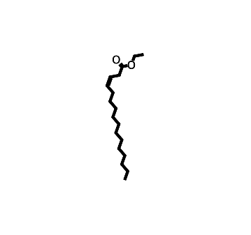 CCCCCCCCCCCC/C=C\CC(=O)OCC